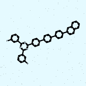 Fc1cccc(-c2nc(-c3ccc(-c4ccc(-c5ccc(-c6ccc7ccccc7c6)cc5)cc4)cc3)nc(-c3cccc(F)c3)n2)c1